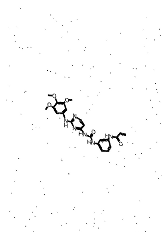 C=CC(=O)Nc1cccc(NC(=O)Nc2ccnc(Nc3cc(OC)c(OC)c(OC)c3)n2)c1